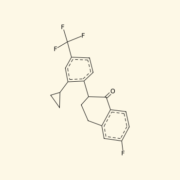 O=C1c2ccc(F)cc2CCC1c1ccc(C(F)(F)F)cc1C1CC1